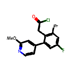 COc1cc(-c2cc(F)cc(C(C)C)c2CC(=O)Cl)ccn1